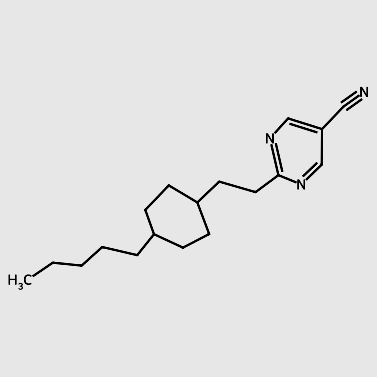 CCCCCC1CCC(CCc2ncc(C#N)cn2)CC1